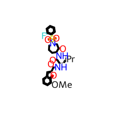 COc1cccc2cc(C(=O)N[C@@H](CC(C)C)C(=O)NC3CCCN(S(=O)(=O)c4ccccc4F)CC3=O)oc12